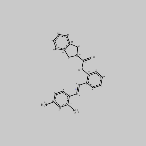 Nc1ccc(/N=N/c2ccccc2OC(=O)N2Cc3cccnc3C2)c(N)n1